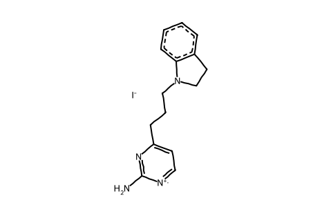 NC1=NC(CCCN2CCc3ccccc32)=CC=[N+]1.[I-]